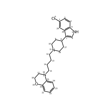 Clc1ccc2[nH]cc(C3CCN(CCCCN4CCOc5ccccc54)CC3)c2c1